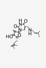 C=P(C)(C)CC[C@H]1O[C@@H](n2cc(CNCC=C(C)C)c(=O)[nH]c2=O)[C@H](C)[C@@H]1O